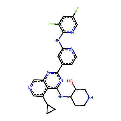 OC1CNCCC1Nc1nc(-c2ccnc(Nc3ncc(F)cc3F)c2)nc2cncc(C3CC3)c12